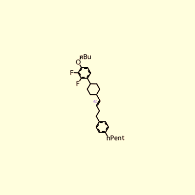 CCCCCc1ccc(CC/C=C/C2CCC(c3ccc(OCCCC)c(F)c3F)CC2)cc1